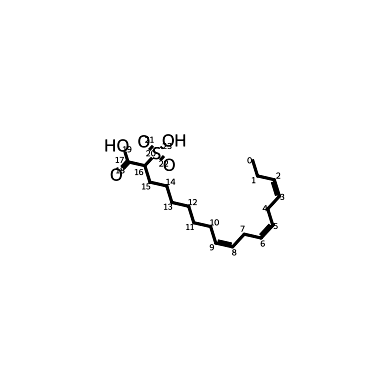 CC/C=C\C/C=C\C/C=C\CCCCCCC(C(=O)O)S(=O)(=O)O